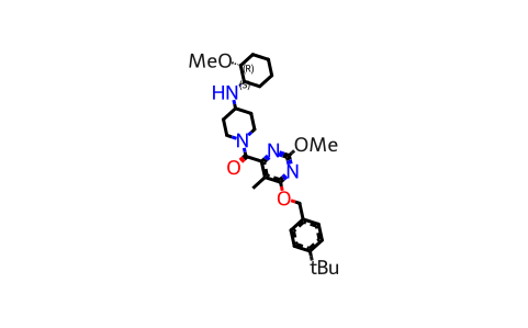 COc1nc(OCc2ccc(C(C)(C)C)cc2)c(C)c(C(=O)N2CCC(N[C@H]3CCCC[C@H]3OC)CC2)n1